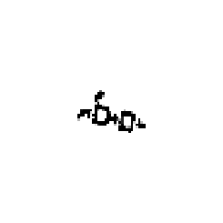 C=C[C@H]1CC(N2CCN(C)CC2)CCN1CC